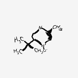 Cc1c[n+]([O-])c(C(C)(C)C)cn1